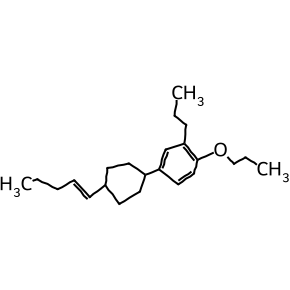 CCC/C=C/C1CCC(c2ccc(OCCC)c(CCC)c2)CC1